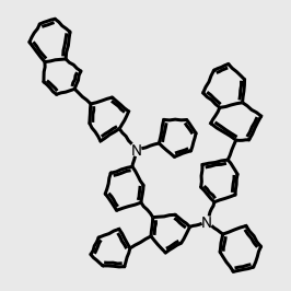 c1ccc(-c2ccc(N(c3ccccc3)c3ccc(-c4ccc5ccccc5c4)cc3)cc2-c2cccc(N(c3ccccc3)c3ccc(-c4ccc5ccccc5c4)cc3)c2)cc1